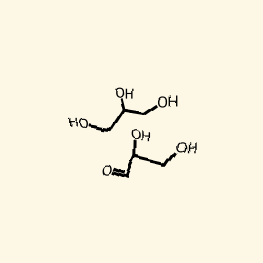 O=CC(O)CO.OCC(O)CO